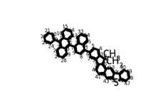 CC1(C)c2ccc(-c3ccc(-c4c5ccccc5c(-c5ccccc5)c5ccccc45)c4ccccc34)cc2-c2ccc3cc4sc5ccccc5c4cc3c21